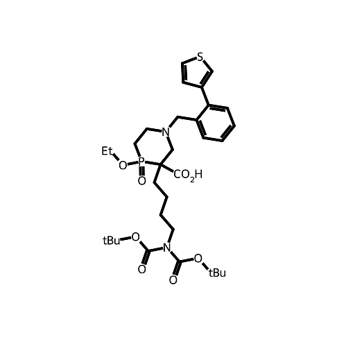 CCOP1(=O)CCN(Cc2ccccc2-c2ccsc2)CC1(CCCCN(C(=O)OC(C)(C)C)C(=O)OC(C)(C)C)C(=O)O